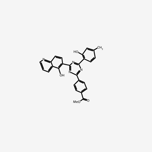 COC(=O)c1ccc(-c2nc(-c3ccc(C)cc3O)nc(-c3ccc4ncccc4c3O)n2)cc1